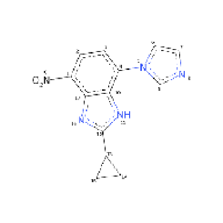 O=[N+]([O-])c1ccc(-n2ccnc2)c2[nH]c(C3CC3)nc12